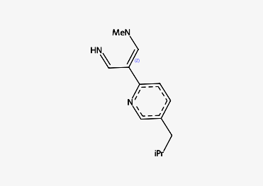 CN/C=C(\C=N)c1ccc(CC(C)C)cn1